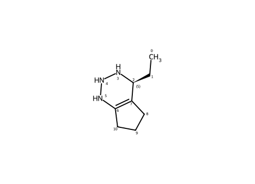 CC[C@@H]1NNNC2=C1CCC2